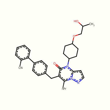 CCCc1c(Cc2ccc(-c3ccccc3C#N)cc2)c(=O)n(C2CCC(OCC(C)O)CC2)c2ccnn12